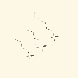 CCCOP(=O)(O)O.CCCOP(=O)(O)O.CCCOP(=O)(O)O.P.P